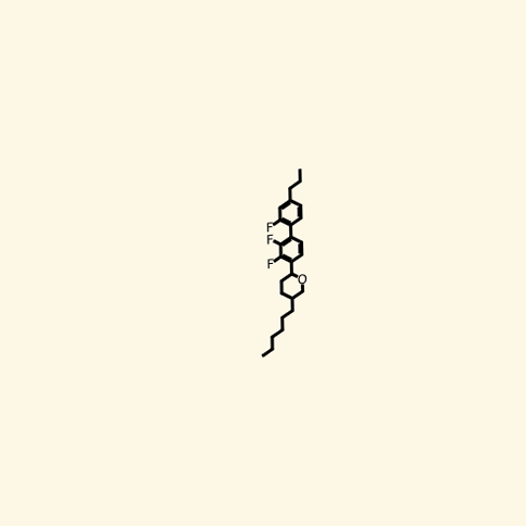 CCCCCCC1CCC(c2ccc(-c3ccc(CCC)cc3F)c(F)c2F)OC1